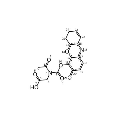 CC(=O)N(CC(=O)O)C(=O)Oc1c2oc3c(nc-2ccc1=O)C=CCC3